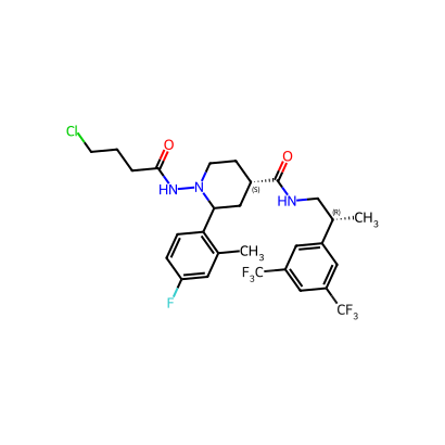 Cc1cc(F)ccc1C1C[C@@H](C(=O)NC[C@H](C)c2cc(C(F)(F)F)cc(C(F)(F)F)c2)CCN1NC(=O)CCCCl